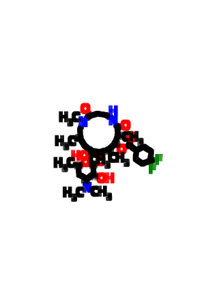 C[C@H]1CN(C)C(=O)CCNC(=O)[C@H](C)[C@@H](OC(=O)C2CCC(F)(F)CC2)[C@H](C)[C@@H](O[C@@H]2O[C@H](C)C[C@H](N(C)C)[C@H]2O)[C@](C)(O)C1